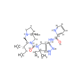 CC[C@H](C)[C@H]1CN2CCC[C@@H]2CN1C(=O)N1Cc2c(NC(=O)c3ccccn3)n[nH]c2C1(C)C